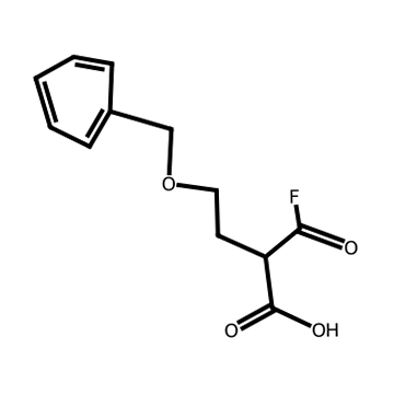 O=C(O)C(CCOCc1ccccc1)C(=O)F